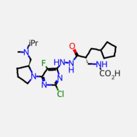 CC(C)N(C)C[C@@H]1CCCN1c1nc(Cl)nc(NNC(=O)[C@@H](CNC(=O)O)CC2CCCC2)c1F